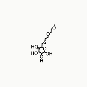 COCCOCCSCC1OC(O)C(O)[C@@H](O)[C@H]1O